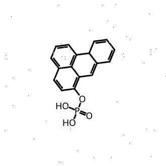 O=P(O)(O)Oc1ccc2cccc3c2c1C=C1C=CC=CC13